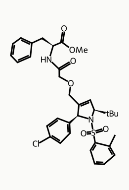 COC(=O)[C@H](Cc1ccccc1)NC(=O)COCC1=C[C@@H](C(C)(C)C)N(S(=O)(=O)c2ccccc2C)[C@H]1c1ccc(Cl)cc1